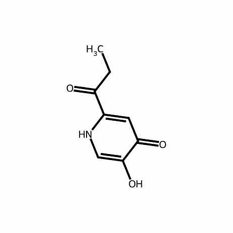 CCC(=O)c1cc(=O)c(O)c[nH]1